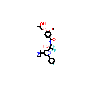 COc1cc(C(=O)NC[C@@](O)(c2cc(C3(C)CCN3)cc(-c3ccc(F)cc3)n2)C(F)(F)F)ccc1OC[C@@H](C)O